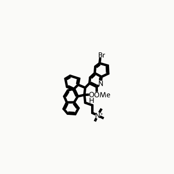 COc1nc2ccc(Br)cc2cc1C(c1ccccc1)C(O)(CCC[N+](C)(C)C)c1cccc2ccccc12